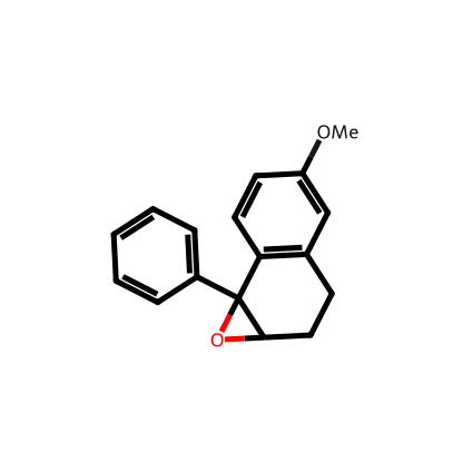 COc1ccc2c(c1)CCC1OC21c1ccccc1